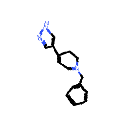 C1=C(c2cn[nH]c2)CCN(Cc2ccccc2)C1